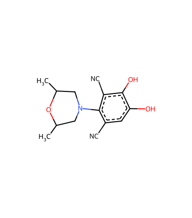 CC1CN(c2c(C#N)cc(O)c(O)c2C#N)CC(C)O1